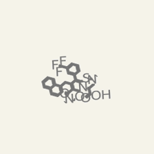 CN1CC(C(=O)O)n2c(c(-c3cccc(C(F)(F)F)c3)c(Cc3cccc4ccccc34)c(C(=O)N(C)C)c2=O)S1